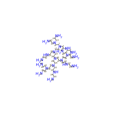 NCCNCCN(CCN(CCN)CCN)CCN(CCNCCN)CCN(CCN(CCNCCN)CCN(CCN)CCN)CCN(CCNCCN)CCN(CCN)CCN